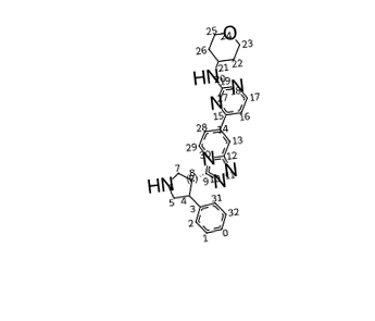 c1ccc(C2CNC[C@@H]2c2nnc3cc(-c4ccnc(NC5CCOCC5)n4)ccn23)cc1